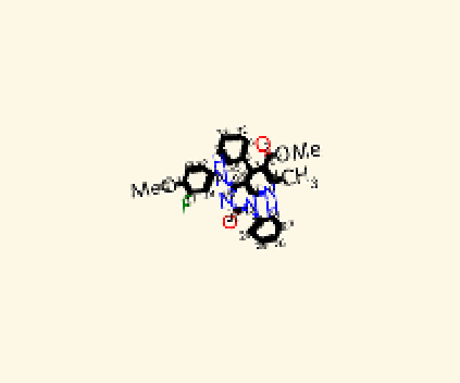 COC(=O)C1=C(C)Nc2c(c(Nc3ccc(OC)c(F)c3)nc(=O)n2-c2ccccc2)C1c1ccccc1